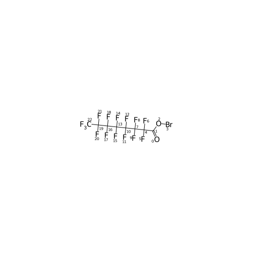 O=C(OBr)C(F)(F)C(F)(F)C(F)(F)C(F)(F)C(F)(F)C(F)(F)C(F)(F)F